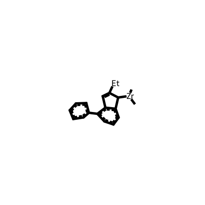 CCC1=Cc2c(-c3ccccc3)cccc2[CH]1[Zr]([CH3])[CH3]